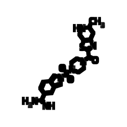 CC1Cc2nc(C(=O)N3CCN(S(=O)(=O)n4cc5ccc(C(=N)N)cc5c4)CC3)sc2CN1